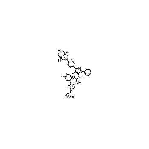 COCCN1C[C@@H](NC(=O)Nc2c(C)c(-c3cnc(N4C[C@H]5COC[C@@H](C4)N5C)nc3)nn2-c2ccccc2)[C@H](c2ccnc(F)c2)O1